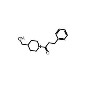 O=C(CCc1ccccc1)N1CCC(CO)CC1